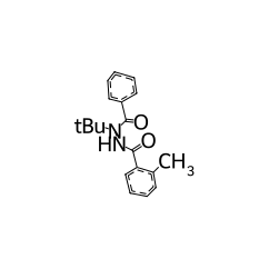 Cc1ccccc1C(=O)NN(C(=O)c1ccccc1)C(C)(C)C